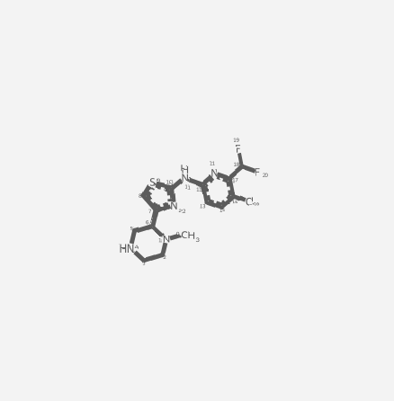 CN1CCNCC1c1csc(Nc2ccc(Cl)c(C(F)F)n2)n1